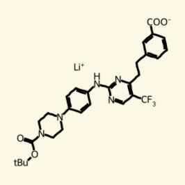 CC(C)(C)OC(=O)N1CCN(c2ccc(Nc3ncc(C(F)(F)F)c(CCc4cccc(C(=O)[O-])c4)n3)cc2)CC1.[Li+]